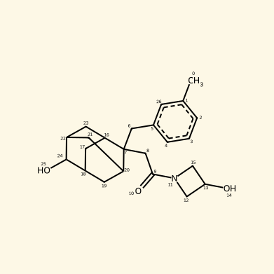 Cc1cccc(CC2(CC(=O)N3CC(O)C3)C3CC4CC2CC(C3)C4O)c1